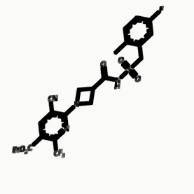 CCOC(=O)c1cc(C#N)c(N2CC(C(=O)NS(=O)(=O)Cc3cc(F)ccc3C)C2)nc1C(F)(F)F